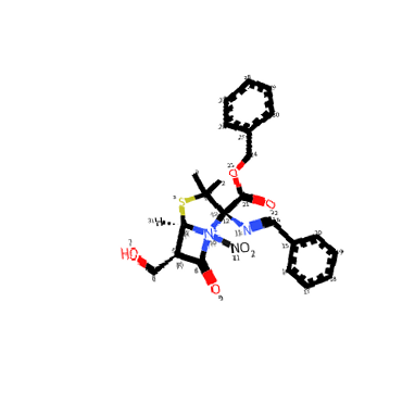 CC1(C)S[C@@H]2[C@H](CO)C(=O)[N+]2([N+](=O)[O-])[C@@]1(N=Cc1ccccc1)C(=O)OCc1ccccc1